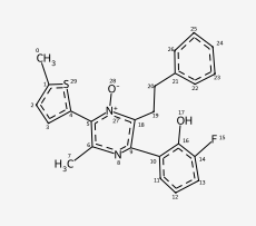 Cc1ccc(-c2c(C)nc(-c3cccc(F)c3O)c(CCc3ccccc3)[n+]2[O-])s1